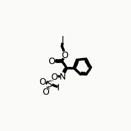 O=C(OCI)C(=NOS(=O)(=O)I)c1ccccc1